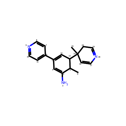 CC1C(N)=CC(c2ccncc2)=CC1C1(C)C=CN=CC1